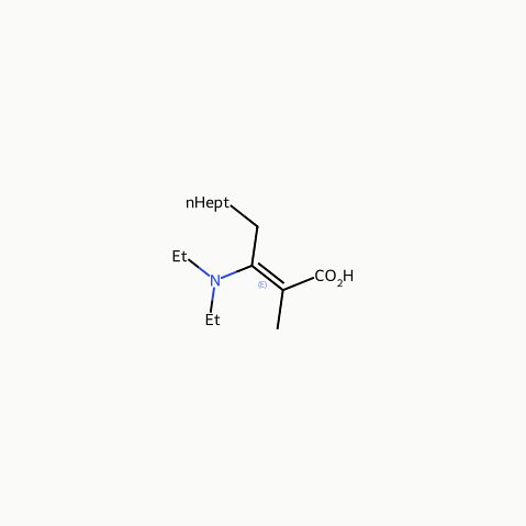 CCCCCCCC/C(=C(/C)C(=O)O)N(CC)CC